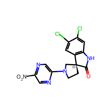 O=C1Nc2cc(Cl)c(Cl)cc2[C@]12CCN(c1cnc([N+](=O)[O-])cn1)C2